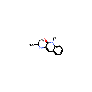 CC(C)Nc1cc2ccccc2n(C)c1=O